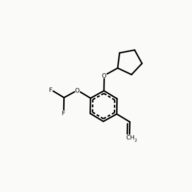 C=Cc1ccc(OC(F)F)c(OC2CCCC2)c1